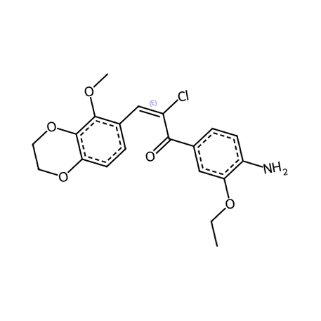 CCOc1cc(C(=O)/C(Cl)=C\c2ccc3c(c2OC)OCCO3)ccc1N